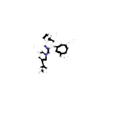 C/C=C(\C=C1\C=C(c2cnn(C)c2)C=NC1)N(Cc1ncc[nH]1)C1=CC(OC)=CCC(OC)=C1